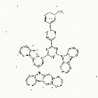 CC1C=C(c2ccc(-c3nc(-c4cc(-n5c6ccccc6c6cc7ccccc7cc65)cc5c4oc4ccccc45)nc(-n4c5ccccc5c5ccccc54)n3)cc2)C=CC1